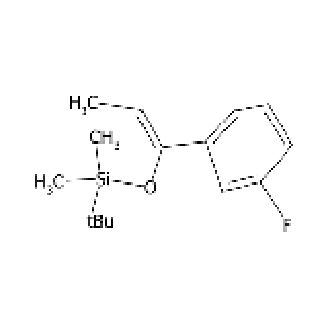 CC=C(O[Si](C)(C)C(C)(C)C)c1cccc(F)c1